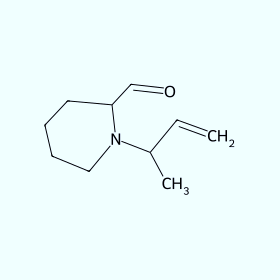 C=CC(C)N1CCCCC1C=O